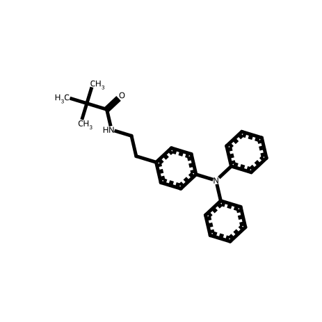 CC(C)(C)C(=O)NCCc1ccc(N(c2ccccc2)c2ccccc2)cc1